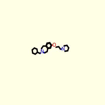 c1cc2c(cc1OCCCN1CCCCC1)CCN(CC1CCCCC1)CC2